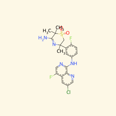 CC1(c2cc(Nc3ncc(F)c4cc(Cl)cnc34)ccc2F)CS(=O)(=O)C(C)(C)C(N)=N1